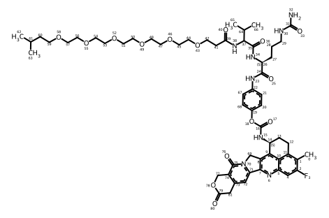 Cc1c(F)cc2nc3c(c4c2c1CC[C@@H]4NC(=O)Oc1ccc(NC(=O)[C@H](CCCNC(N)=O)NC(=O)C(NC(=O)CCOCCOCCOCCOCCOCCOCCC(C)C)C(C)C)cc1)Cn1c-3cc2c(c1=O)COC(=O)C2